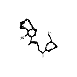 CC(=CCC(C)c1cccc(C(C)C)c1)c1ccc2ccccc2c1C=O